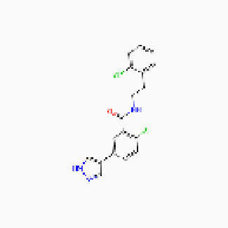 O=C(NCCc1ccccc1Cl)c1cc(-c2cn[nH]c2)ccc1Cl